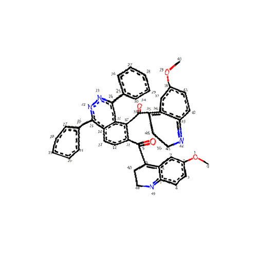 COc1ccc2c(c1)=C(C(=O)c1ccc3c(-c4ccccc4)nnc(-c4ccccc4)c3c1C(=O)C1=c3cc(OC)ccc3=NCC1)CCN=2